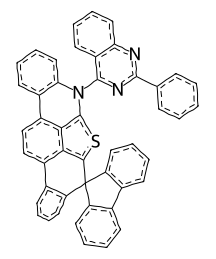 c1ccc(-c2nc(N3c4ccccc4-c4ccc5c6c(sc3c46)C3(c4ccccc4-c4ccccc43)c3ccccc3-5)c3ccccc3n2)cc1